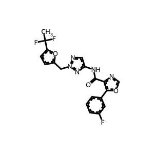 CC(F)(F)c1ccc(Cn2ncc(NC(=O)c3ncoc3-c3cccc(F)c3)n2)o1